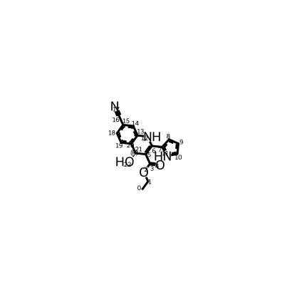 CCOC(=O)C1=C(c2ccc[nH]2)Nc2cc(C#N)ccc2[C@H]1O